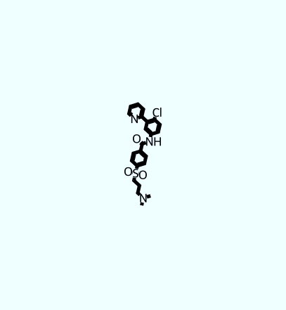 CN(C)CCCS(=O)(=O)c1ccc(C(=O)Nc2ccc(Cl)c(-c3ccccn3)c2)cc1